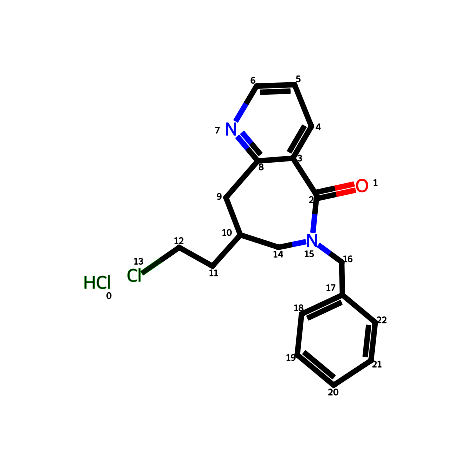 Cl.O=C1c2cccnc2CC(CCCl)CN1Cc1ccccc1